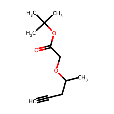 C#CCC(C)OCC(=O)OC(C)(C)C